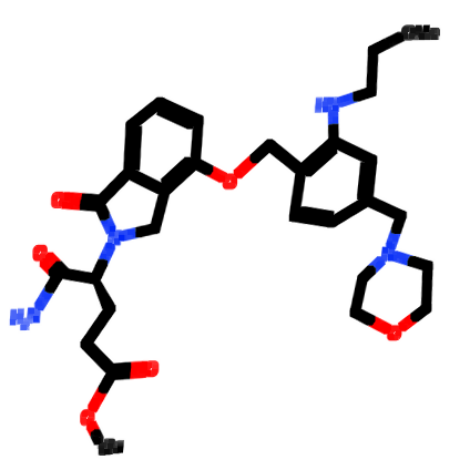 COCCNc1cc(CN2CCOCC2)ccc1COc1cccc2c1CN([C@@H](CCC(=O)OC(C)(C)C)C(N)=O)C2=O